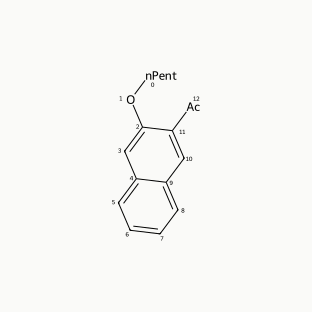 CCCCCOc1cc2ccccc2cc1C(C)=O